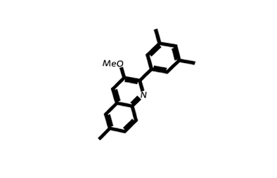 COc1cc2cc(C)ccc2nc1-c1cc(C)cc(C)c1